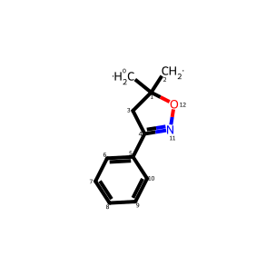 [CH2]C1([CH2])CC(c2ccccc2)=NO1